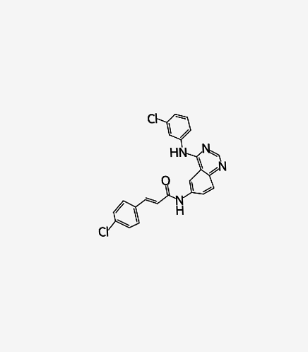 O=C(C=Cc1ccc(Cl)cc1)Nc1ccc2ncnc(Nc3cccc(Cl)c3)c2c1